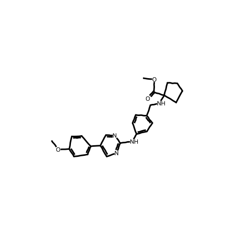 COC(=O)C1(NCc2ccc(Nc3ncc(-c4ccc(OC)cc4)cn3)cc2)CCCC1